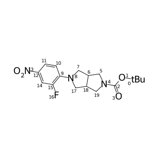 CC(C)(C)OC(=O)N1CC2CN(c3ccc([N+](=O)[O-])cc3F)CC2C1